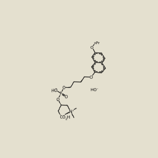 CCCOc1ccc2ccc(OCCCCOP(=O)(O)OC(CC(=O)O)C[N+](C)(C)C)cc2c1.[OH-]